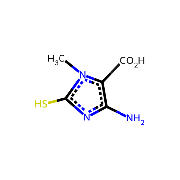 Cn1c(S)nc(N)c1C(=O)O